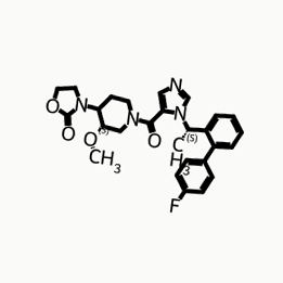 CO[C@H]1CN(C(=O)c2cncn2[C@@H](C)c2ccccc2-c2ccc(F)cc2)CCC1N1CCOC1=O